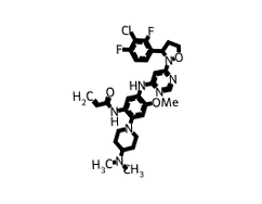 C=CC(=O)Nc1cc(Nc2cc(N3OCCC3c3ccc(F)c(Cl)c3F)ncn2)c(OC)cc1N1CCC(N(C)C)CC1